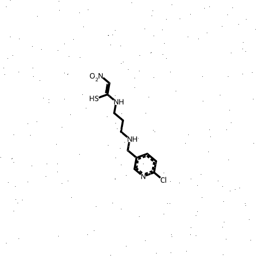 O=[N+]([O-])/C=C(\S)NCCCNCc1ccc(Cl)nc1